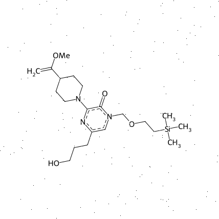 C=C(OC)C1CCN(c2nc(CCCO)cn(COCC[Si](C)(C)C)c2=O)CC1